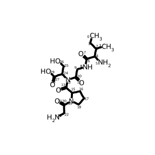 CCC(C)C(N)C(=O)NCC(=O)N(C(=O)C1CCCN1C(=O)CN)C(CO)C(=O)O